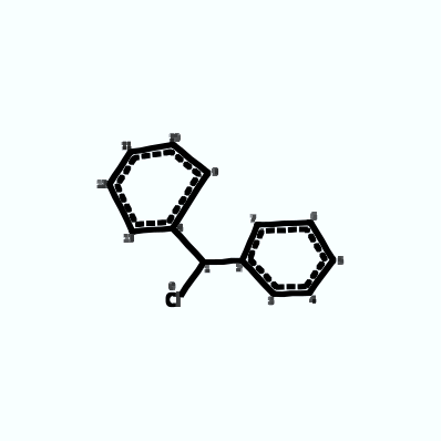 ClC(c1ccccc1)c1ccccc1